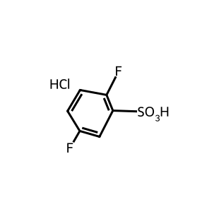 Cl.O=S(=O)(O)c1cc(F)ccc1F